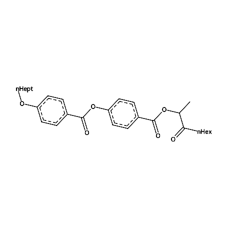 CCCCCCCOc1ccc(C(=O)Oc2ccc(C(=O)OC(C)C(=O)CCCCCC)cc2)cc1